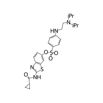 CC(C)N(CCNc1ccc(S(=O)(=O)Oc2ccc3nc(NC(=O)C4CC4)sc3c2)cc1)C(C)C